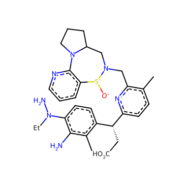 CCN(N)c1ccc([C@@H](CC(=O)O)c2ccc(C)c(CN3CC4CCCN4c4ncccc4[S+]3[O-])n2)c(C)c1N